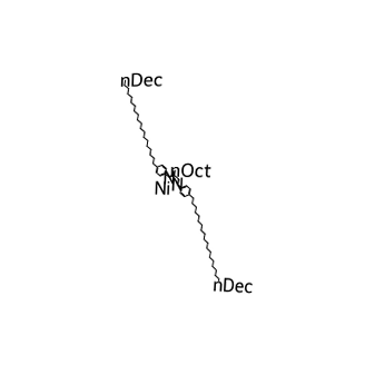 CCCCCCCCCCCCCCCCCCCCCCCCCCCCCc1ccc(N=CC(CCCCCCCC)=Nc2ccc(CCCCCCCCCCCCCCCCCCCCCCCCCCCCC)cc2)cc1.[Ni]